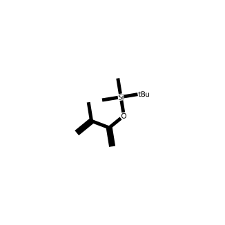 C=C(C)C(=C)O[Si](C)(C)C(C)(C)C